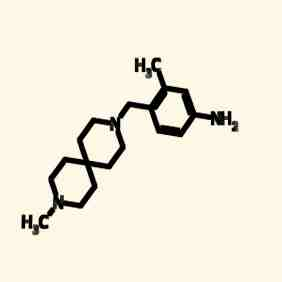 Cc1cc(N)ccc1CN1CCC2(CCN(C)CC2)CC1